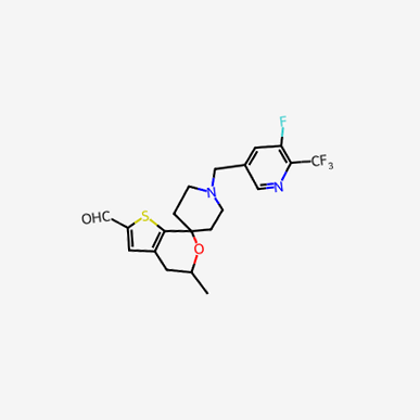 CC1Cc2cc(C=O)sc2C2(CCN(Cc3cnc(C(F)(F)F)c(F)c3)CC2)O1